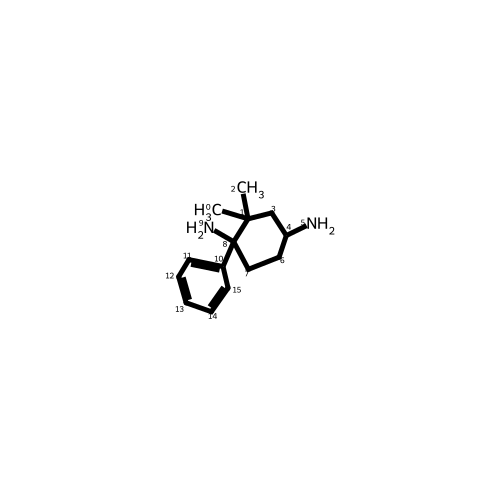 CC1(C)CC(N)CCC1(N)c1ccccc1